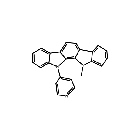 Cn1c2ccccc2c2ccc3c4ccccc4n(-c4ccncc4)c3c21